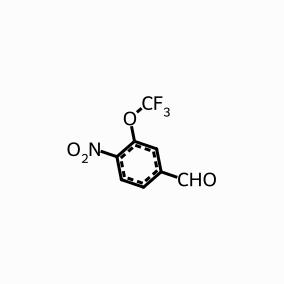 O=Cc1ccc([N+](=O)[O-])c(OC(F)(F)F)c1